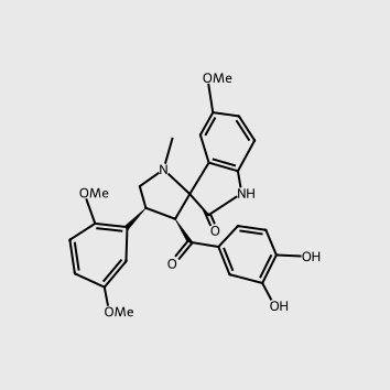 COc1ccc(OC)c([C@H]2CN(C)C3(C(=O)Nc4ccc(OC)cc43)[C@H]2C(=O)c2ccc(O)c(O)c2)c1